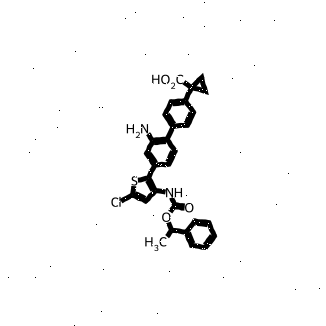 CC(OC(=O)Nc1cc(Cl)sc1-c1ccc(-c2ccc(C3(C(=O)O)CC3)cc2)c(N)c1)c1ccccc1